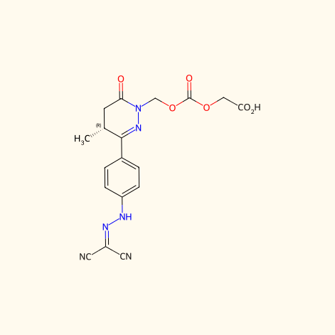 C[C@@H]1CC(=O)N(COC(=O)OCC(=O)O)N=C1c1ccc(NN=C(C#N)C#N)cc1